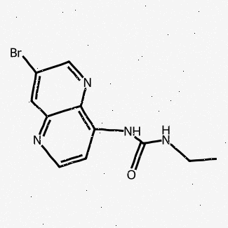 CCNC(=O)Nc1ccnc2cc(Br)cnc12